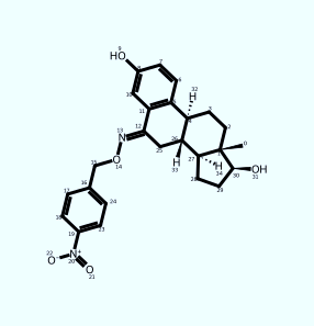 C[C@]12CC[C@@H]3c4ccc(O)cc4C(=NOCc4ccc([N+](=O)[O-])cc4)C[C@H]3[C@@H]1CC[C@@H]2O